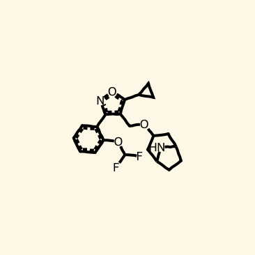 FC(F)Oc1ccccc1-c1noc(C2CC2)c1COC1CC2CCC(C1)N2